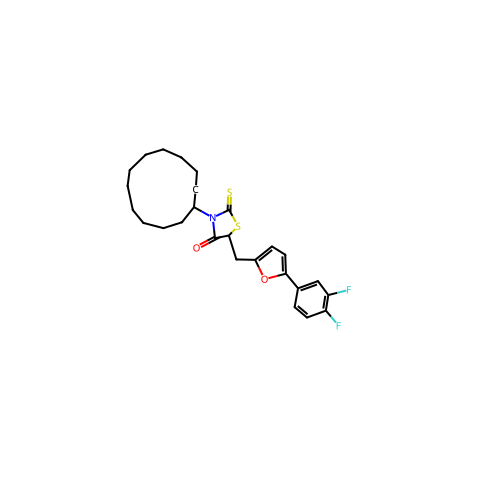 O=C1C(Cc2ccc(-c3ccc(F)c(F)c3)o2)SC(=S)N1C1CCCCCCCCCCC1